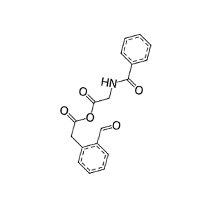 O=Cc1ccccc1CC(=O)OC(=O)CNC(=O)c1ccccc1